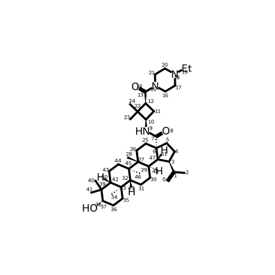 C=C(C)[C@@H]1CC[C@]2(C(=O)N[C@@H]3C[C@H](C(=O)N4CCN(CC)CC4)C3(C)C)CC[C@]3(C)[C@H](CC[C@@H]4[C@@]5(C)CC[C@H](O)C(C)(C)[C@@H]5CC[C@]43C)[C@@H]12